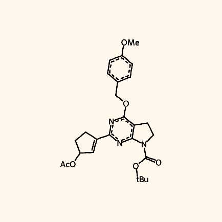 COc1ccc(COc2nc(C3=CC(OC(C)=O)CC3)nc3c2CCN3C(=O)OC(C)(C)C)cc1